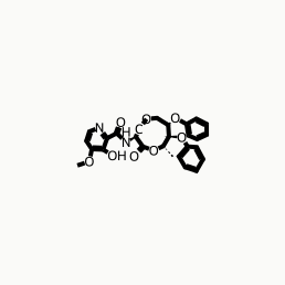 COc1ccnc(C(=O)N[C@H]2COC[C@H](Oc3ccccc3)[C@@H](Oc3ccccc3)[C@H](C)OC2=O)c1O